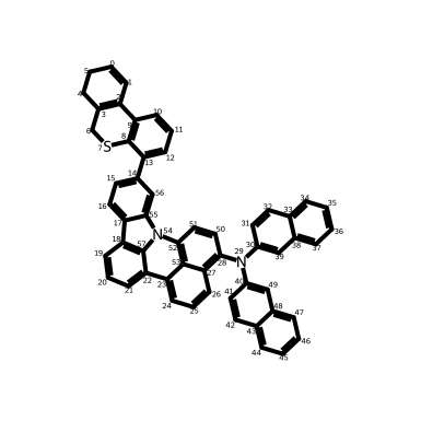 C1=CC2=C(CC1)CSc1c2cccc1-c1ccc2c3cccc4c5cccc6c(N(c7ccc8ccccc8c7)c7ccc8ccccc8c7)ccc(c65)n(c2c1)c43